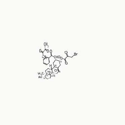 CC(=O)C(C)=O.CC(=O)[C@H]1CC[C@H]2[C@@H]3CC=C4C[C@@H](OC(=O)C(=O)CBr)CC[C@]4(C)[C@H]3CC[C@]12C.O=CC(=O)c1ccccc1